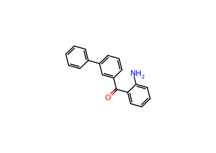 Nc1ccccc1C(=O)c1cccc(-c2ccccc2)c1